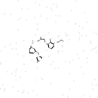 CCCCCCCCCCCCOc1cccc(OCC(COP(=O)(O)Oc2cccc(C[n+]3csc(C)c3)c2)OC)c1C